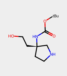 CC(C)(C)OC(=O)N[C@@]1(CCO)CCNC1